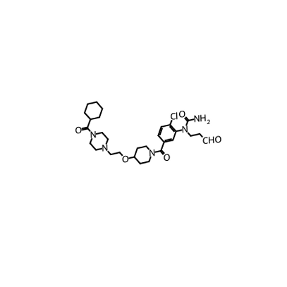 NC(=O)N(CCC=O)c1cc(C(=O)N2CCC(OCCN3CCN(C(=O)C4CCCCC4)CC3)CC2)ccc1Cl